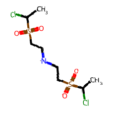 CC(Cl)S(=O)(=O)CC[N]CCS(=O)(=O)C(C)Cl